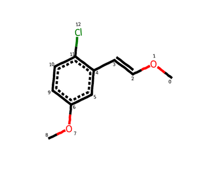 CO/C=C/c1cc(OC)ccc1Cl